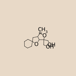 C[C@@H]1OC(CO)(CO)C2OC3(CCCCC3)CC21